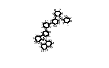 c1ccc(-n2c3ccccc3c3cc(-c4cccc(-c5ccc6c(c5)c5ccccc5n6-c5cccc6ccccc56)c4)ccc32)cc1